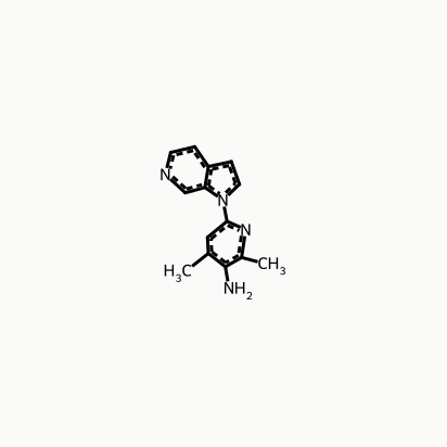 Cc1cc(-n2ccc3ccncc32)nc(C)c1N